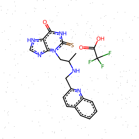 CC(Cn1c(=S)[nH]c(=O)c2[nH]cnc21)NCc1ccc2ccccc2n1.O=C(O)C(F)(F)F